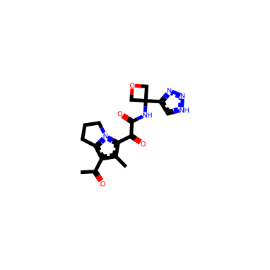 CC(=O)c1c(C)c(C(=O)C(=O)NC2(c3c[nH]nn3)COC2)n2c1CCC2